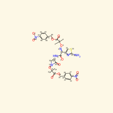 CC(C)(ON=C(C(=O)N[C@H]1CN(OC(C)(C)C(=O)OCc2ccc([N+](=O)[O-])cc2)C1=O)c1csc(N)n1)C(=O)OCc1ccc([N+](=O)[O-])cc1